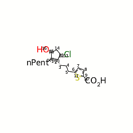 CCCCC[C@@H]1[C@@H](CCCc2ccc(C(=O)O)s2)[C@@H](Cl)C[C@H]1O